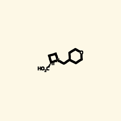 O=C(O)[C@@H]1CCN1CC1CCOCC1